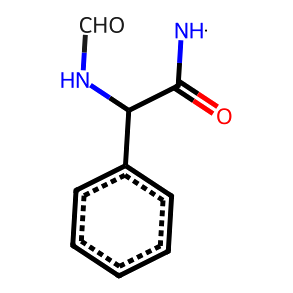 [NH]C(=O)C(NC=O)c1ccccc1